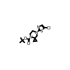 CC(C)(C)OC(=O)N1CCN(c2ncc(Cl)s2)CC12CC2